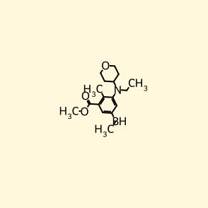 CBc1cc(C(=O)OC)c(C)c(N(CC)C2CCOCC2)c1